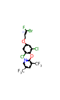 F/C(Br)=C/COc1cc(Cl)c(Oc2ncc(C(F)(F)F)cc2C(F)(F)F)c(Cl)c1